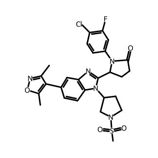 Cc1noc(C)c1-c1ccc2c(c1)nc(C1CCC(=O)N1c1ccc(Cl)c(F)c1)n2C1CCN(S(C)(=O)=O)C1